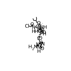 CCC(CC)COC(=O)[C@H](C)N[P@@](=O)(OCCNC(=O)CCl)OP(=O)(O)PC[C@@H]1CC[C@H](n2cnc3c(=O)[nH]c(N)nc32)O1